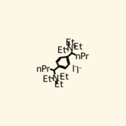 CCCC(c1ccc(C(CCC)[N+](CC)(CC)CC)cc1)[N+](CC)(CC)CC.[I-].[I-]